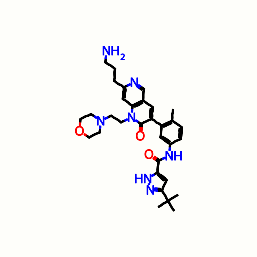 Cc1ccc(NC(=O)c2cc(C(C)(C)C)n[nH]2)cc1-c1cc2cnc(CCCN)cc2n(CCN2CCOCC2)c1=O